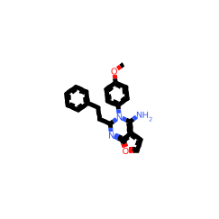 COc1ccc(N2C(N)=c3ccoc3=NC2CCc2ccccc2)cc1